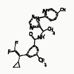 CC(NC(=O)c1cc(C(=C(F)F)C2CC2)cc(C(F)(F)F)c1)c1ncnn1-c1ccc(C#N)cn1